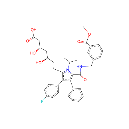 COC(=O)c1cccc(CNC(=O)c2c(-c3ccccc3)c(-c3ccc(F)cc3)c(CC[C@@H](O)C[C@@H](O)CC(=O)O)n2C(C)C)c1